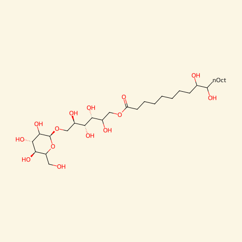 CCCCCCCCC(O)C(O)CCCCCCCC(=O)OCC(O)[C@@H](O)[C@H](O)[C@H](O)CO[C@H]1OC(CO)[C@@H](O)[C@H](O)C1O